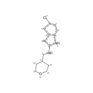 Clc1ccc2[nH]c(NCC3CCOCC3)nc2c1